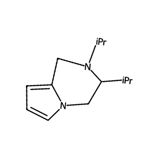 CC(C)C1Cn2cccc2CN1C(C)C